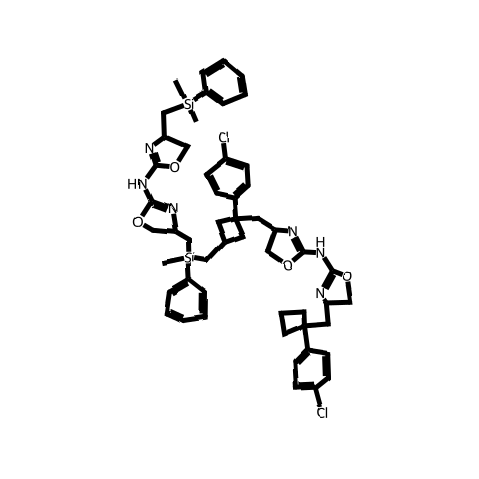 C[Si](C)(CC1COC(NC2=NC(C[Si](C)(CC3CC(CC4COC(NC5=NC(CC6(c7ccc(Cl)cc7)CCC6)CO5)=N4)(c4ccc(Cl)cc4)C3)c3ccccc3)CO2)=N1)c1ccccc1